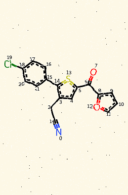 N#CCc1cc(C(=O)c2ccco2)sc1-c1ccc(Cl)cc1